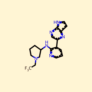 FC(F)(F)CN1CCCC(Nc2ncccc2-c2cnc3[nH]ccc3n2)C1